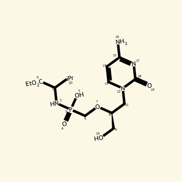 CCOC(=O)C(NP(=O)(O)CO[C@H](CO)Cn1ccc(N)nc1=O)C(C)C